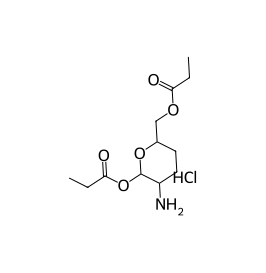 CCC(=O)OCC1CCC(N)C(OC(=O)CC)O1.Cl